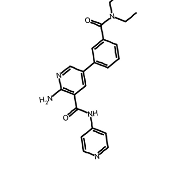 CCN(CC)C(=O)c1cccc(-c2cnc(N)c(C(=O)Nc3ccncc3)c2)c1